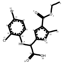 CCOC(=O)c1cc(C(Nc2ccc(Br)cc2Cl)C(=O)O)oc1C